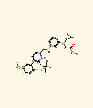 COC(=O)CC(c1cccc(OCc2ccc(-c3cc(OC)ccc3F)c(CC(C)(C)C)n2)c1)C1CC1